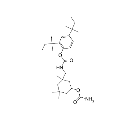 CCC(C)(C)c1ccc(OC(=O)NCC2(C)CC(OC(N)=O)CC(C)(C)C2)c(C(C)(C)CC)c1